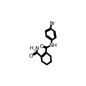 NC(=O)C1=C(C(=O)Nc2ccc(Br)cc2)CCCC1